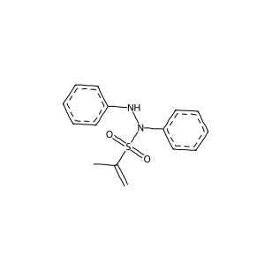 C=C(C)S(=O)(=O)N(Nc1ccccc1)c1ccccc1